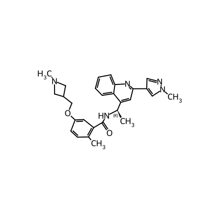 Cc1ccc(OCC2CN(C)C2)cc1C(=O)N[C@H](C)c1cc(-c2cnn(C)c2)nc2ccccc12